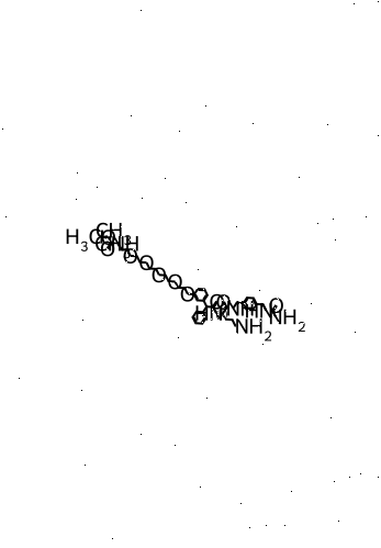 CC(C)(C)OC(=O)NCCOCCOCCOCCOCCOc1cccc(C(C(=O)N[C@H](CCCN)C(=O)NCc2ccc(CNC(N)=O)cc2)c2ccccc2)c1